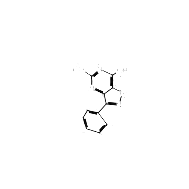 Oc1nc(O)c2[nH]nc(-c3ccccc3)c2n1